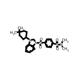 CN(C)S(=O)(=O)c1ccc(S(=O)(=O)N2CN(C3CCC(C)(C)CC3)c3ccccc32)cc1